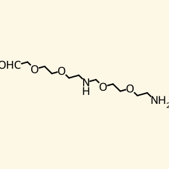 NCCOCCOCNCCOCCOCC=O